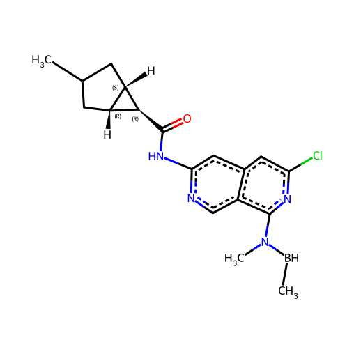 CBN(C)c1nc(Cl)cc2cc(NC(=O)[C@H]3[C@@H]4CC(C)C[C@@H]43)ncc12